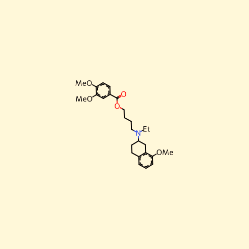 CCN(CCCCOC(=O)c1ccc(OC)c(OC)c1)C1CCc2cccc(OC)c2C1